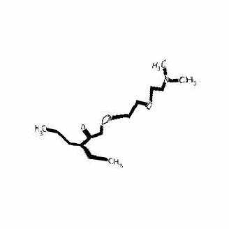 CCCC(CC)C(=O)COCCOCCN(C)C